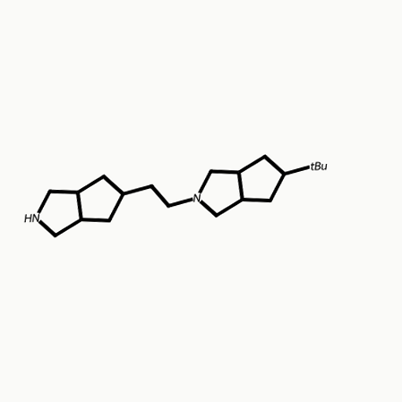 CC(C)(C)C1CC2CN(CCC3CC4CNCC4C3)CC2C1